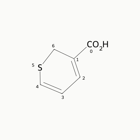 O=C(O)C1=CC=CSC1